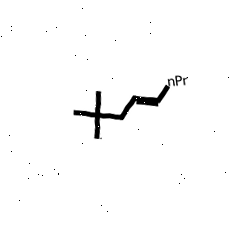 [CH2]C(C)(C)CC=CCCC